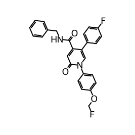 O=C(NCc1ccccc1)c1cc(=O)n(-c2ccc(OCF)cc2)cc1-c1ccc(F)cc1